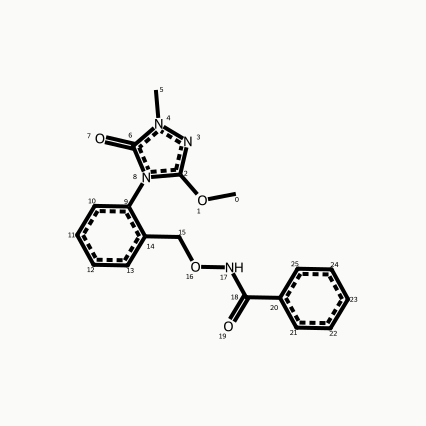 COc1nn(C)c(=O)n1-c1ccccc1CONC(=O)c1ccccc1